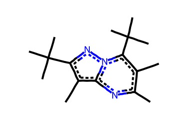 Cc1nc2c(C)c(C(C)(C)C)nn2c(C(C)(C)C)c1C